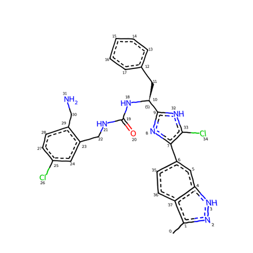 Cc1n[nH]c2cc(-c3nc([C@H](Cc4ccccc4)NC(=O)NCc4cc(Cl)ccc4CN)[nH]c3Cl)ccc12